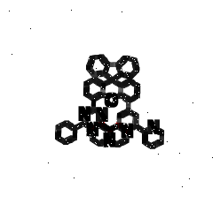 c1ccc(-c2nc(-c3ccccc3)nc(-c3cccc4c3Oc3c(-c5cc(-c6ccccn6)nc(-c6ccccn6)c5)cccc3C43c4ccccc4-c4ccccc43)n2)cc1